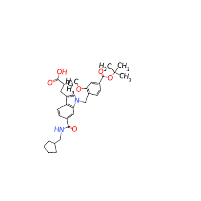 COc1cc(C(=O)OC(C)(C)C)ccc1Cn1cc(CC(C)C(=O)O)c2ccc(C(=O)NCC3CCCC3)cc21